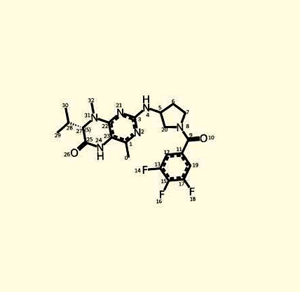 Cc1nc(NC2CCN(C(=O)c3cc(F)c(F)c(F)c3)C2)nc2c1NC(=O)[C@H](C(C)C)N2C